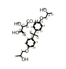 CC(O)COc1ccc(C(C)(C)c2ccc(OCC(C)O)cc2)cc1.O=C(O)CC(O)C(O)=S